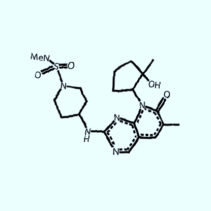 CNS(=O)(=O)N1CCC(Nc2ncc3cc(C)c(=O)n(C4CCCC4(C)O)c3n2)CC1